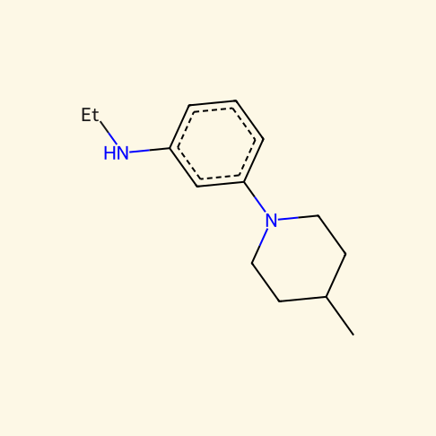 CCNc1cccc(N2CCC(C)CC2)c1